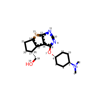 CN(C)[C@H]1CC[C@H](Oc2ncnc3sc4c(c23)[C@H](CO)CC4)CC1